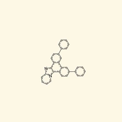 c1ccc(-c2ccc3c(c2)c2cc(-c4ccccc4)ccc2c2c3nc3ccccn32)cc1